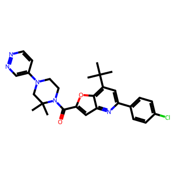 CC(C)(C)c1cc(-c2ccc(Cl)cc2)nc2cc(C(=O)N3CCN(c4ccnnc4)CC3(C)C)oc12